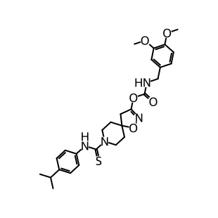 COc1ccc(CNC(=O)OC2=NOC3(CCN(C(=S)Nc4ccc(C(C)C)cc4)CC3)C2)cc1OC